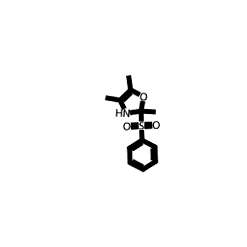 CC1=C(C)OC(C)(S(=O)(=O)c2ccccc2)N1